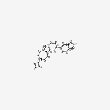 C1=CC(N2CCc3nc4ccc(-c5ccc6nccn6c5)cc4n3CC2)=C1